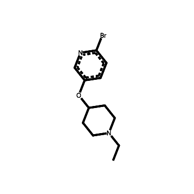 CCN1CCC(Oc2ccc(Br)nc2)CC1